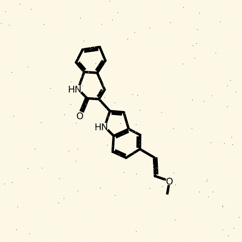 COC=Cc1ccc2[nH]c(-c3cc4ccccc4[nH]c3=O)cc2c1